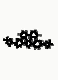 CC1(C)CSC(c2ccc(-c3ccc(-c4ccc(C5=NC(C)(C)CS5)nc4)c4c5ccccc5c5ccccc5c34)cn2)=N1